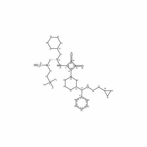 C[Si](C)(C)CCN(C[C@H](CC1CCCCC1)Nc1c(N2CCCC(C(OCCC3CC3)c3ccccc3)C2)c(=O)c1=O)C(=O)O